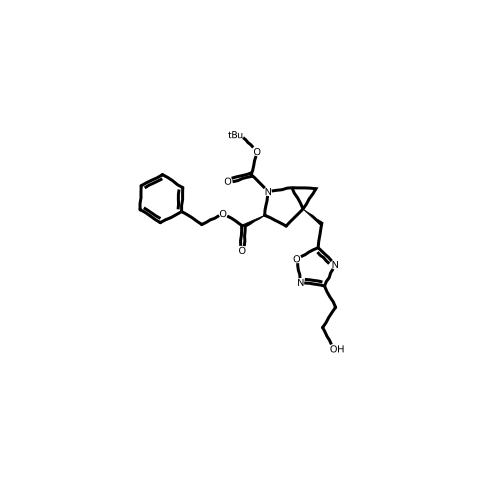 CC(C)(C)OC(=O)N1C2C[C@]2(Cc2nc(CCO)no2)C[C@H]1C(=O)OCc1ccccc1